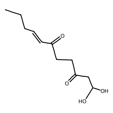 CCCC=CC(=O)CCC(=O)CC(O)O